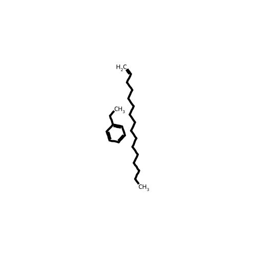 C=CCCCCCCCCCCCCCC.CCc1ccccc1